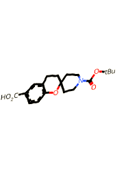 CC(C)(C)OC(=O)N1CCC2(CCc3cc(C(=O)O)ccc3O2)CC1